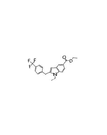 CCOC(=O)c1ccc2c(c1)cc(Cc1ccc(C(F)(F)F)cc1)n2CC